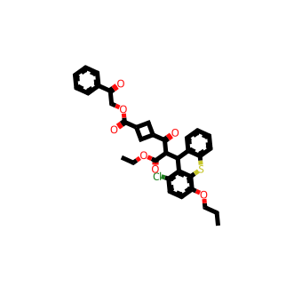 CCCOc1ccc(Cl)c2c1Sc1ccccc1C2C(C(=O)OCC)C(=O)C1CC(C(=O)OCC(=O)c2ccccc2)C1